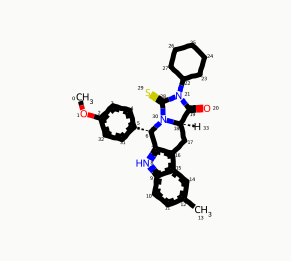 COc1ccc([C@H]2c3[nH]c4ccc(C)cc4c3C[C@@H]3C(=O)N(C4CCCCC4)C(=S)N23)cc1